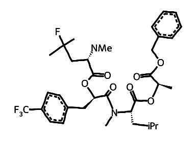 CN[C@@H](CC(C)(C)F)C(=O)O[C@H](Cc1ccc(C(F)(F)F)cc1)C(=O)N(C)[C@@H](CC(C)C)C(=O)O[C@H](C)C(=O)OCc1ccccc1